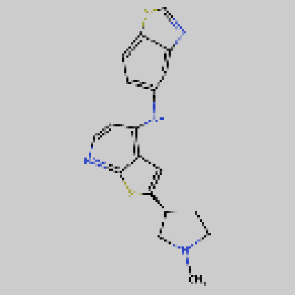 CN1CC[C@H](c2cc3c(Nc4ccc5scnc5c4)ccnc3s2)C1